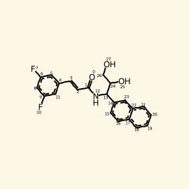 O=C(/C=C/c1cc(F)cc(F)c1)NC(c1ccc2ccccc2c1)C(O)CO